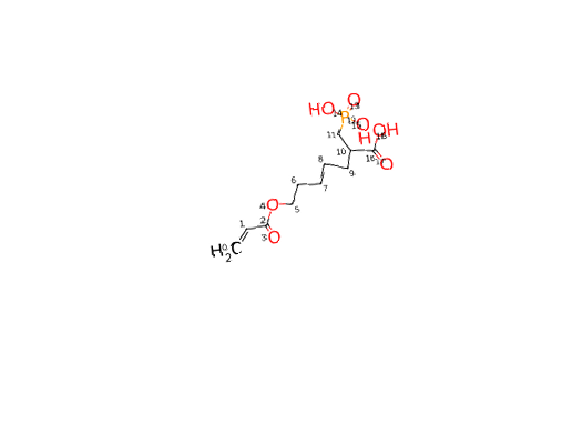 C=CC(=O)OCCCCCC(CP(=O)(O)O)C(=O)O